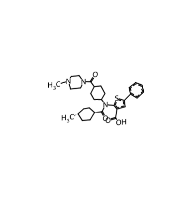 CN1CCN(C(=O)C2CCC(N(c3sc(-c4ccccc4)cc3C(=O)O)C(=O)[C@H]3CC[C@H](C)CC3)CC2)CC1